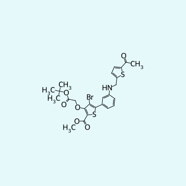 COC(=O)c1sc(-c2cccc(NCc3ccc(C(C)=O)s3)c2)c(Br)c1OCC(=O)OC(C)(C)C